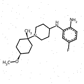 CO[C@H]1CC[C@](C)(N2CCC(Nc3cc(F)ccc3N)CC2)CC1